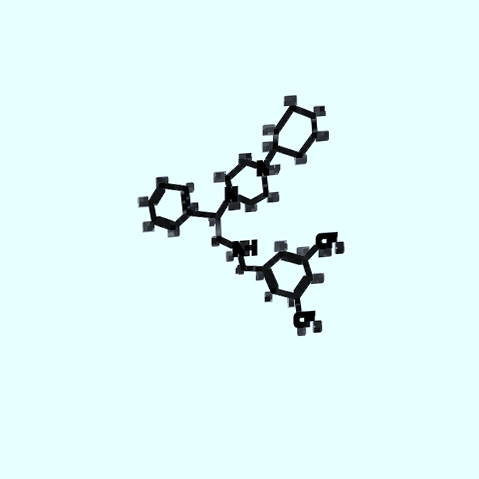 FC(F)(F)c1cc(CNCC(c2ccccc2)N2CCN(C3CCCCC3)CC2)cc(C(F)(F)F)c1